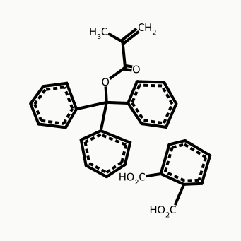 C=C(C)C(=O)OC(c1ccccc1)(c1ccccc1)c1ccccc1.O=C(O)c1ccccc1C(=O)O